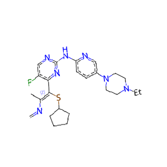 C=N/C(C)=C(\SC1CCCC1)c1nc(Nc2ccc(N3CCN(CC)CC3)cn2)ncc1F